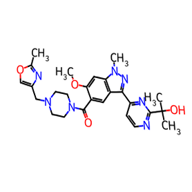 COc1cc2c(cc1C(=O)N1CCN(Cc3coc(C)n3)CC1)c(-c1ccnc(C(C)(C)O)n1)nn2C